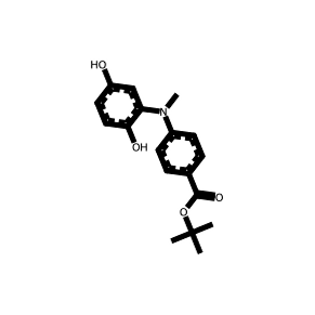 CN(c1ccc(C(=O)OC(C)(C)C)cc1)c1cc(O)ccc1O